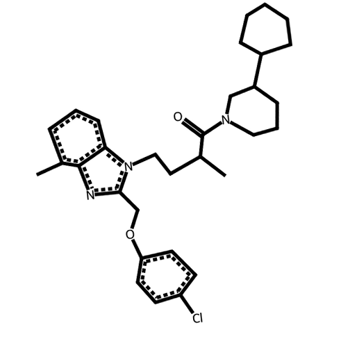 Cc1cccc2c1nc(COc1ccc(Cl)cc1)n2CCC(C)C(=O)N1CCCC(C2CCCCC2)C1